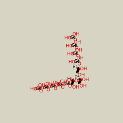 CCC(O)CO.CCC(O)CO.CCC(O)CO.O=[Se](O)O.O=[Se](O)O.O=[Se](O)O.O=[Se](O)O.O=[Se](O)O.O=[Se](O)O.O=[Se](O)O.O=[Se](O)O.O=[Se](O)O